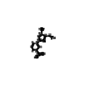 O=[N+]([O-])c1cccc(-n2cc(Br)c(CF)n2)c1